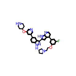 Fc1cc(OCCN2CCCC2)cc(-c2ccnc3[nH]c(-c4n[nH]c5ccc(-c6cncc(OC7CCNCC7)c6)cc45)cc23)c1